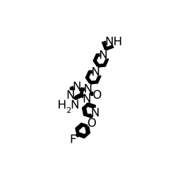 Nc1ncnc2c1n(-c1ccc(Oc3ccc(F)cc3)nc1)c(=O)n2C1CCN(C2CCN(C3CNC3)CC2)CC1